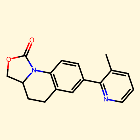 Cc1cccnc1-c1ccc2c(c1)CCC1COC(=O)N21